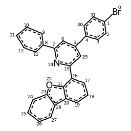 Brc1ccc(-c2cc(-c3ccccc3)nc(-c3cccc4c3oc3ccccc34)c2)cc1